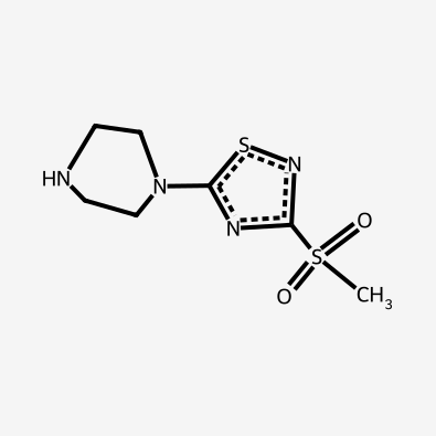 CS(=O)(=O)c1nsc(N2CCNCC2)n1